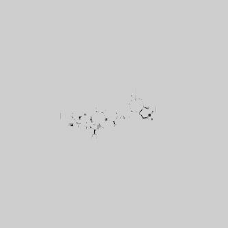 O=C(NOC1CNCc2[nH]ncc21)[C@@H]1CCC2CN1C(=O)N2OS(=O)(=O)O